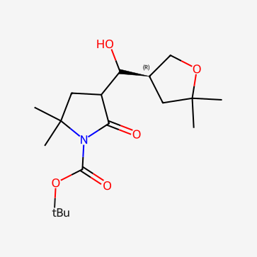 CC(C)(C)OC(=O)N1C(=O)C(C(O)[C@H]2COC(C)(C)C2)CC1(C)C